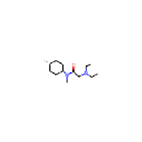 CCN(CC)CC(=O)N(C)[C@H]1CC[C@H](C)CC1